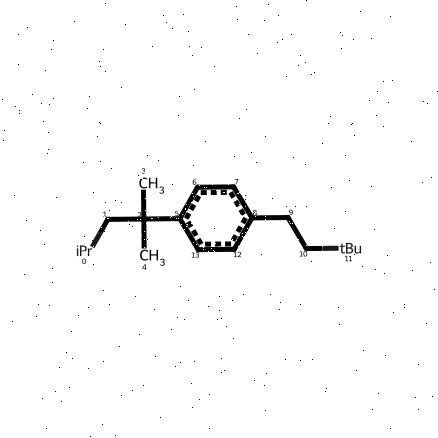 CC(C)CC(C)(C)c1ccc(CCC(C)(C)C)cc1